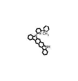 CC1(c2cccc(-n3c4ccccc4c4cc5cc6c(cc5cc43)[nH]c3ccccc36)n2)C=CC=CC1